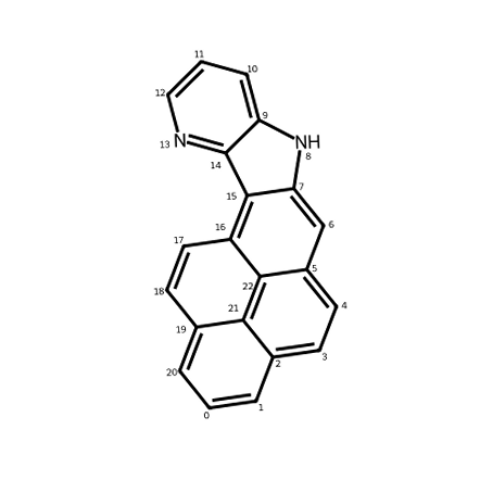 c1cc2ccc3cc4[nH]c5cccnc5c4c4ccc(c1)c2c34